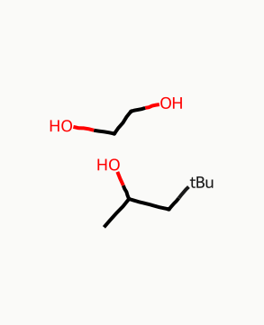 CC(O)CC(C)(C)C.OCCO